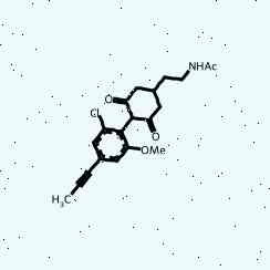 CC#Cc1cc(Cl)c(C2C(=O)CC(CCNC(C)=O)CC2=O)c(OC)c1